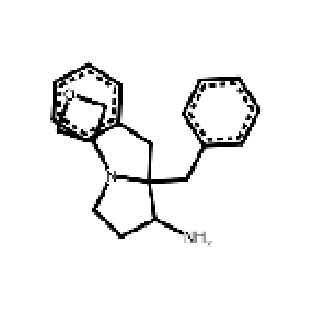 NC1CCN(C2COC2)C1(Cc1ccccc1)Cc1ccccc1